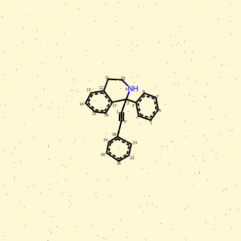 C(#CC1(c2ccccc2)NCCc2ccccc21)c1ccccc1